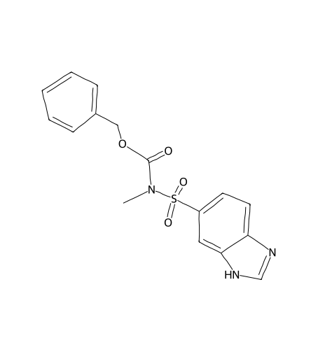 CN(C(=O)OCc1ccccc1)S(=O)(=O)c1ccc2nc[nH]c2c1